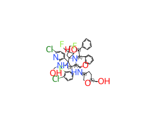 CC1(c2ccc(Cl)nc2NCO)[C@@H](c2cccc(Cl)c2F)[C@H](C(=O)N[C@@H]2CC[C@@H](CO)OC2)N([C@H](c2ccccc2)[C@@H](O)c2ccccc2)C12CC(CF)(CF)C2